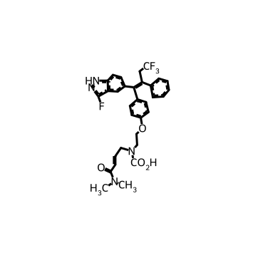 CN(C)C(=O)/C=C/CN(CCOc1ccc(/C(=C(/CC(F)(F)F)c2ccccc2)c2ccc3[nH]nc(F)c3c2)cc1)C(=O)O